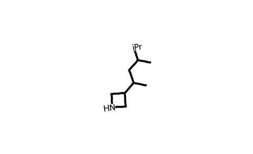 CC(C)C(C)CC(C)C1CNC1